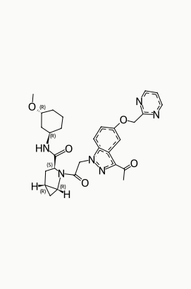 CO[C@@H]1CCC[C@@H](NC(=O)[C@@H]2C[C@H]3C[C@H]3N2C(=O)Cn2nc(C(C)=O)c3cc(OCc4ncccn4)ccc32)C1